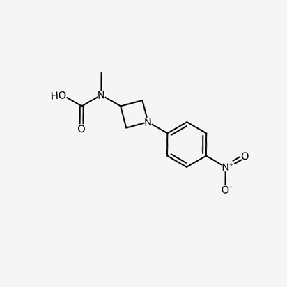 CN(C(=O)O)C1CN(c2ccc([N+](=O)[O-])cc2)C1